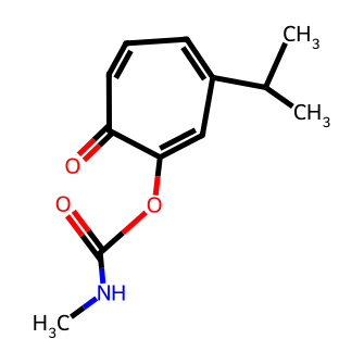 CNC(=O)Oc1cc(C(C)C)cccc1=O